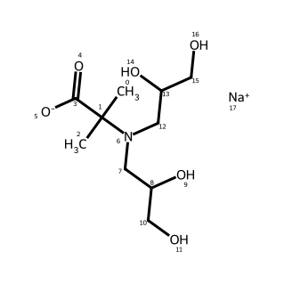 CC(C)(C(=O)[O-])N(CC(O)CO)CC(O)CO.[Na+]